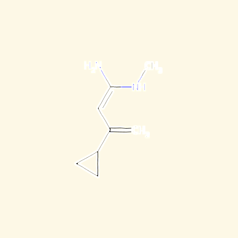 C=C(/C=C(/N)NC)C1CC1